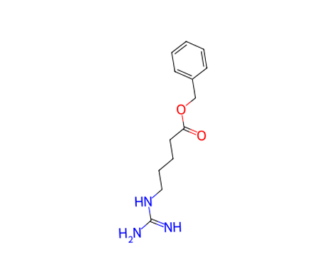 N=C(N)NCCCCC(=O)OCc1ccccc1